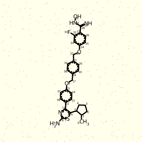 CC1CCCC1c1sc(N)nc1-c1ccc(OCc2ccc(COc3ccc(C(=N)NO)c(F)c3)cc2)cc1